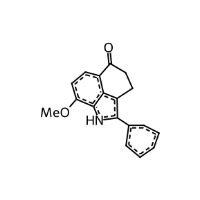 COc1ccc2c3c(c(-c4ccccc4)[nH]c13)CCC2=O